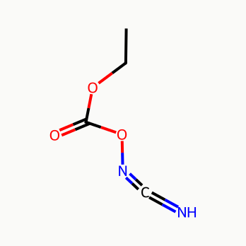 CCOC(=O)ON=C=N